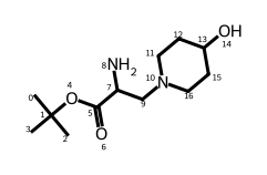 CC(C)(C)OC(=O)C(N)CN1CCC(O)CC1